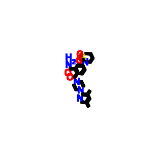 Cc1cnc(N2CCN(C(=O)c3ccc(N4CCCCS4(=O)=O)cc3C(N)=O)CC2)c(C)c1